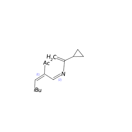 C=C(/N=C\C(=C/C(C)CC)C(C)=O)C1CC1